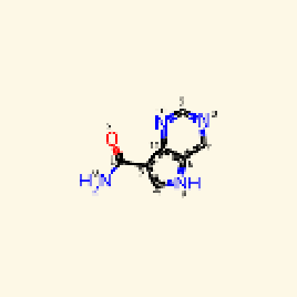 NC(=O)c1c[nH]c2cncnc12